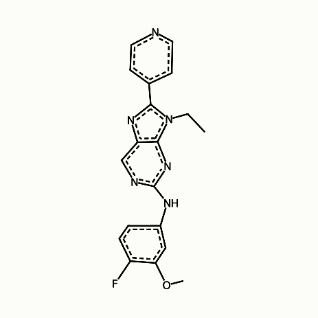 CCn1c(-c2ccncc2)nc2cnc(Nc3ccc(F)c(OC)c3)nc21